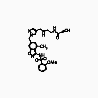 C#CC(=O)NCCNCc1cnn(Cc2cc(C)c3c(NS(=O)(=O)c4ccccc4OC)noc3c2)c1